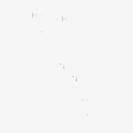 CCOCCN1CCN(CCCCC(=O)C(C)C)CC1